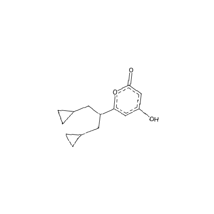 O=c1cc(O)cc(C(CC2CC2)CC2CC2)o1